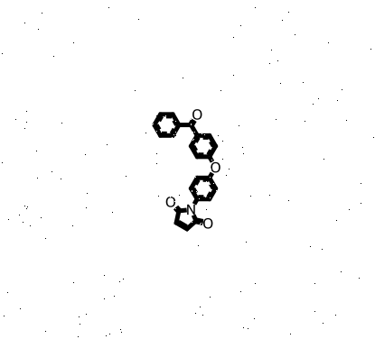 O=C(c1ccccc1)c1ccc(Oc2ccc(N3C(=O)C=CC3=O)cc2)cc1